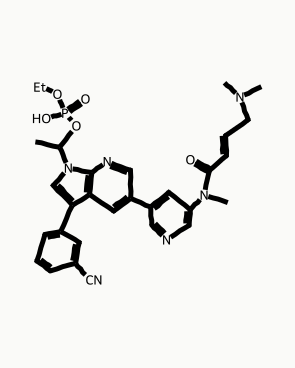 CCOP(=O)(O)OC(C)n1cc(-c2cccc(C#N)c2)c2cc(-c3cncc(N(C)C(=O)C=CCN(C)C)c3)cnc21